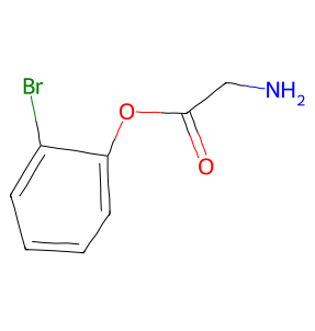 NCC(=O)Oc1ccccc1Br